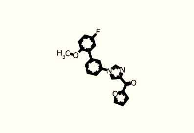 COc1ccc(F)cc1-c1cccc(-n2cnc(C(=O)c3ccco3)c2)c1